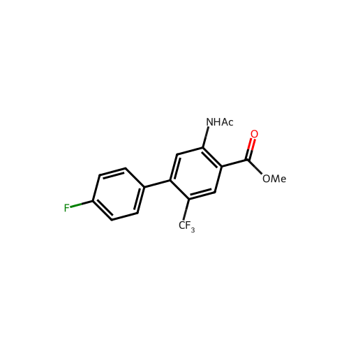 COC(=O)c1cc(C(F)(F)F)c(-c2ccc(F)cc2)cc1NC(C)=O